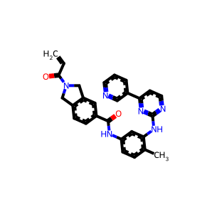 C=CC(=O)N1Cc2ccc(C(=O)Nc3ccc(C)c(Nc4nccc(-c5cccnc5)n4)c3)cc2C1